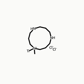 C[N+]1([Ti])CCCNCCCNCCC1.[Cl-].[Cl-]